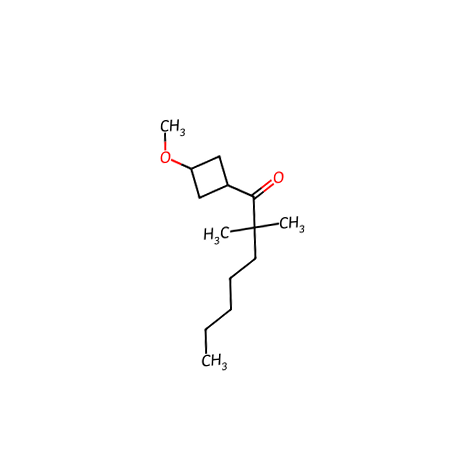 CCCCCC(C)(C)C(=O)C1CC(OC)C1